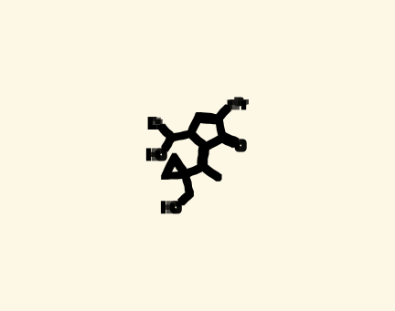 CCCC1=CC(C(O)CC)/C(=C(/C)C2(CO)CC2)C1=O